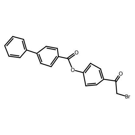 O=C(CBr)c1ccc(OC(=O)c2ccc(-c3ccccc3)cc2)cc1